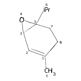 CC1=CC2OC2(C(C)C)CC1